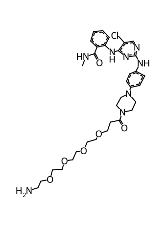 CNC(=O)c1ccccc1Nc1nc(Nc2ccc(N3CCN(C(=O)CCOCCOCCOCCOCCN)CC3)cc2)ncc1Cl